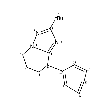 CC(C)(C)c1nc2n(n1)CCCC2c1ccccc1